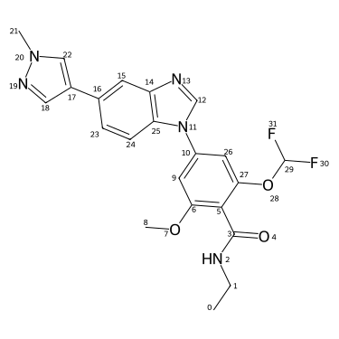 CCNC(=O)c1c(OC)cc(-n2cnc3cc(-c4cnn(C)c4)ccc32)cc1OC(F)F